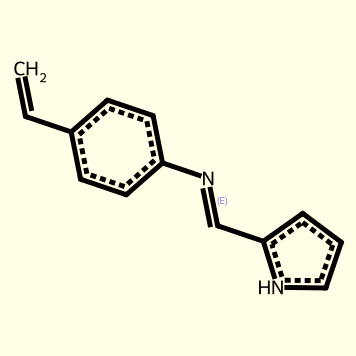 C=Cc1ccc(/N=C/c2ccc[nH]2)cc1